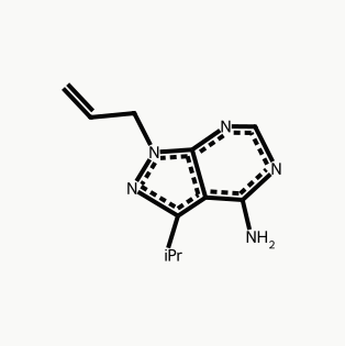 C=CCn1nc(C(C)C)c2c(N)ncnc21